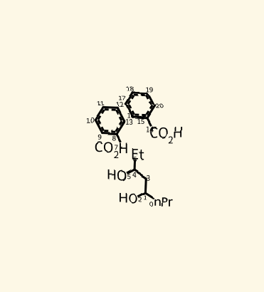 CCCC(O)CC(O)CC.O=C(O)c1ccccc1.O=C(O)c1ccccc1